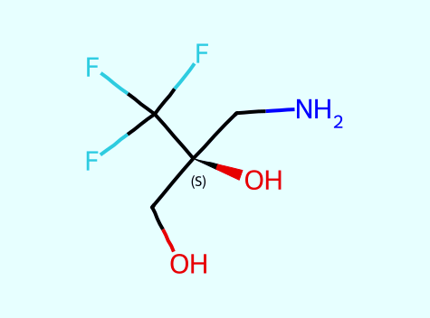 NC[C@](O)(CO)C(F)(F)F